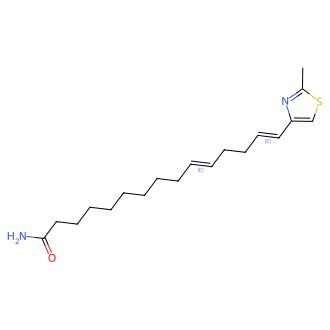 Cc1nc(/C=C/CC/C=C/CCCCCCCCC(N)=O)cs1